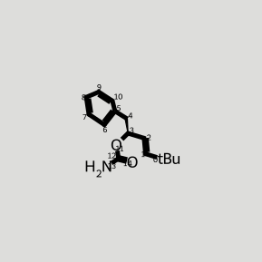 CC(C)(C)C=C[C@H](Cc1ccccc1)OC(N)=O